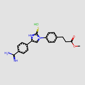 COC(=O)CCc1ccc(-n2cc(-c3ccc(C(=N)N)cc3)[nH]c2=S)cc1.Cl